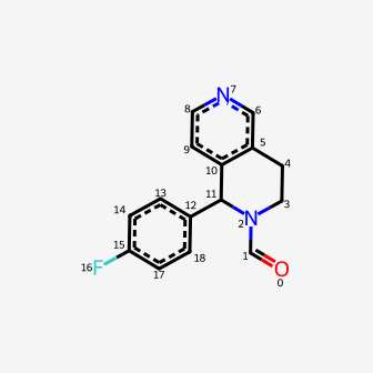 O=CN1CCc2cnccc2C1c1ccc(F)cc1